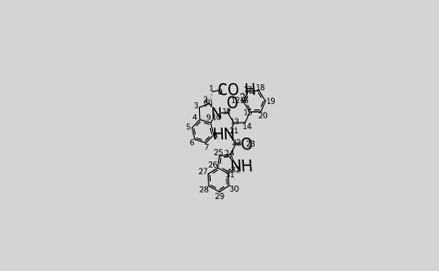 O=C(O)C[C@H]1Cc2ccccc2N1C(=O)C(Cc1ccccc1)NC(=O)c1cc2ccccc2[nH]1